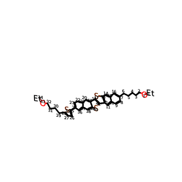 CCOCCCCCc1ccc2cc3c(cc2c1)sc1c2cc4ccc(-c5ccc(CCCCOCC)s5)cc4cc2sc31